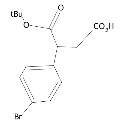 CC(C)(C)OC(=O)C(CC(=O)O)c1ccc(Br)cc1